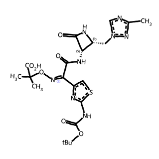 Cc1ncn(C[C@H]2NC(=O)[C@H]2NC(=O)/C(=N\OC(C)(C)C(=O)O)c2csc(NC(=O)OC(C)(C)C)n2)n1